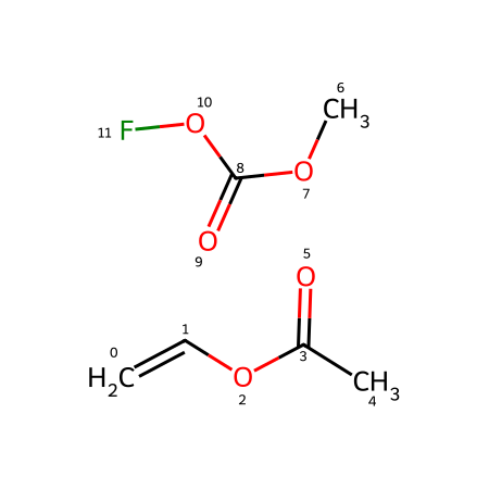 C=COC(C)=O.COC(=O)OF